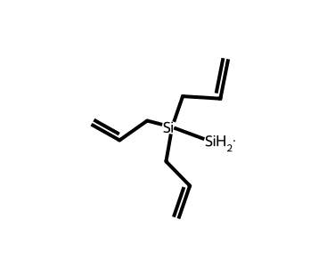 C=CC[Si]([SiH2])(CC=C)CC=C